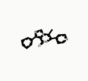 Cc1c(-c2ccncc2)[nH]c(=O)c2c(-c3ccccc3)ncn12